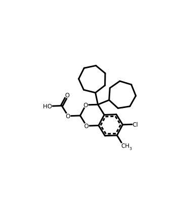 Cc1cc2c(cc1Cl)C(C1CCCCCC1)(C1CCCCCC1)OC(OC(=O)O)O2